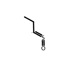 CC[C]=S=O